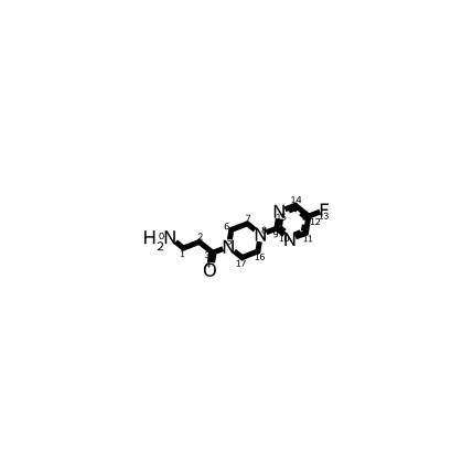 NCCC(=O)N1CCN(c2ncc(F)cn2)CC1